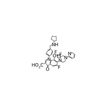 O=C(O)c1cn(-c2ccc(CNC3CCCC3)cc2)c2c(OC(F)(F)Cl)c(N3CCN(c4ccccn4)CC3)c(F)cc2c1=O